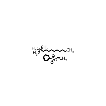 C=COS(=O)(=O)c1ccccc1.CCCCCCCCCC[N+](C)(C)C